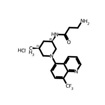 C[C@H]1C[C@@H](NC(=O)CCN)CN(c2ccc(C(F)(F)F)c3ncccc23)C1.Cl